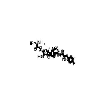 CC(C)[C@H](N)C(=O)OC[C@H]1O[C@@](C)(c2ccc3c(NC(=O)[C@@H](N)Cc4ccc(F)cc4)ncnn23)[C@H](O)[C@@H]1O